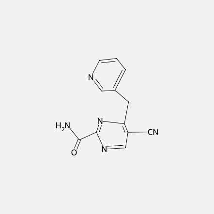 N#Cc1cnc(C(N)=O)nc1Cc1cccnc1